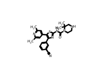 Cc1cc(-c2sc(NC(=O)N3CCNCC3(C)C)nc2-c2cccc(C#N)c2)cc(C)n1